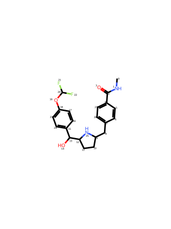 CNC(=O)c1ccc(CC2CCC(C(O)c3ccc(OC(F)F)cc3)N2)cc1